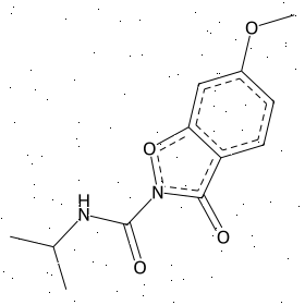 COc1ccc2c(=O)n(C(=O)NC(C)C)oc2c1